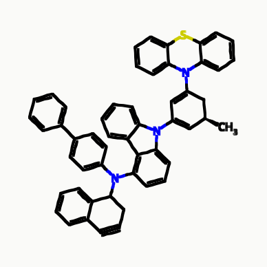 C[C@H]1C=C(n2c3ccccc3c3c(N(c4ccc(-c5ccccc5)cc4)C4CC#Cc5ccccc54)cccc32)C=C(N2c3ccccc3Sc3ccccc32)C1